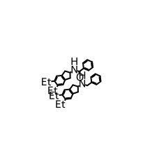 CCc1cc2c(cc1CC)CC(NC(=O)c1ccccc1)C2.CCc1cc2c(cc1CC)CC(NCc1ccccc1)C2